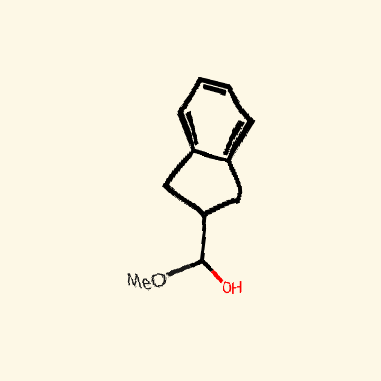 COC(O)C1Cc2ccccc2C1